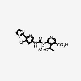 COC(C)c1c(NC(=O)Nc2cnc(-n3nccn3)c(Cl)c2)cncc1C(=O)O